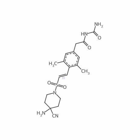 Cc1cc(CC(=O)NC(N)=O)cc(C)c1/C=C/S(=O)(=O)N1CCC(N)(C#N)CC1